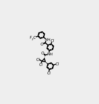 O=C(Nc1cccc(C(F)(F)F)c1)c1cc(NC(=O)[C@@H]2[C@@H](c3cc(Cl)cc(Cl)c3)C2(Cl)Cl)ccc1Cl